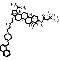 C=C(C)[C@@H]1CC[C@]2(CCNCCN3CCN(Cc4cccc5ccccc45)CC3)CC[C@]3(C)[C@H](CC[C@@H]4[C@@]5(C)CC[C@H](OC(=O)CC(C)(C)C(=O)O)C(C)(C)[C@@H]5CC[C@]43C)[C@@H]12